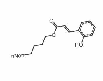 CCCCCCCCCCCCCOC(=O)C=Cc1ccccc1O